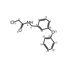 O=C(CCl)NCc1cccc(Oc2ccccc2)c1